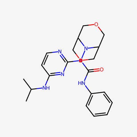 CC(C)Nc1ccnc(N(C(=O)Nc2ccccc2)N2C3COCC2COC3)n1